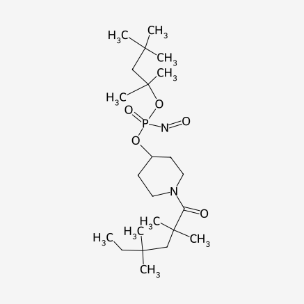 CCC(C)(C)CC(C)(C)C(=O)N1CCC(OP(=O)(N=O)OC(C)(C)CC(C)(C)C)CC1